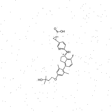 Cc1cc(OCCC(C)(C)O)cc(C)c1-c1ccc(F)c2c1CC[C@H]2Nc1ccc(C2C[C@@H]2C(=O)O)cn1